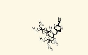 CC(C)(C)OC(=O)N[C@@H](Cc1cnc(C#N)nc1)C(=O)OC(C)(C)C